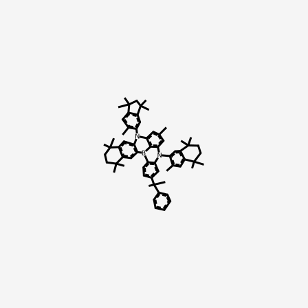 Cc1cc2c3c(c1)N(c1cc4c(cc1C)C(C)(C)CC4(C)C)c1cc4c(cc1B3c1ccc(C(C)(C)c3ccccc3)cc1N2c1cc2c(cc1C)C(C)(C)CCC2(C)C)C(C)(C)CCC4(C)C